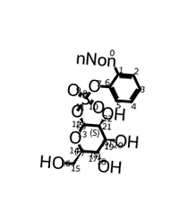 CCCCCCCCCc1ccccc1OS(=O)(=O)O[C@@H]1O[C@H](CO)[C@@H](O)[C@H](O)[C@@H]1O